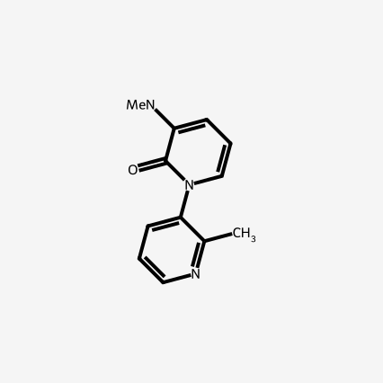 CNc1cccn(-c2cccnc2C)c1=O